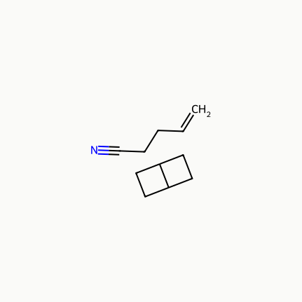 C1CC2CCC12.C=CCCC#N